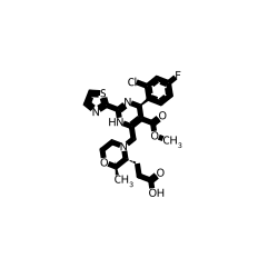 COC(=O)C1=C(CN2CCO[C@H](C)[C@H]2CCC(=O)O)NC(c2nccs2)=N[C@H]1c1ccc(F)cc1Cl